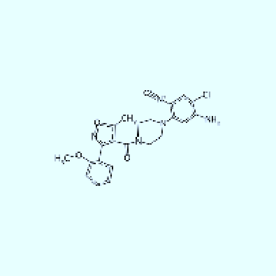 [C-]#[N+]c1cc(Cl)c(N)cc1N1CCN(C(=O)c2c(-c3ccccc3OC)noc2C)CC1